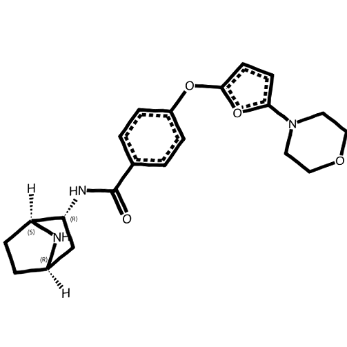 O=C(N[C@@H]1C[C@H]2CC[C@@H]1N2)c1ccc(Oc2ccc(N3CCOCC3)o2)cc1